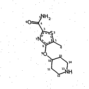 Cc1sc(C(N)=O)nc1OC1CCNCC1